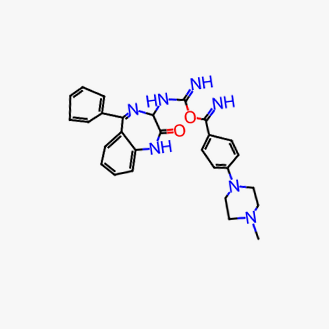 CN1CCN(c2ccc(C(=N)OC(=N)NC3N=C(c4ccccc4)c4ccccc4NC3=O)cc2)CC1